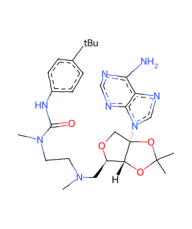 CN(CCN(C)C(=O)Nc1ccc(C(C)(C)C)cc1)C[C@H]1OC[C@@]2(n3cnc4c(N)ncnc43)OC(C)(C)O[C@H]12